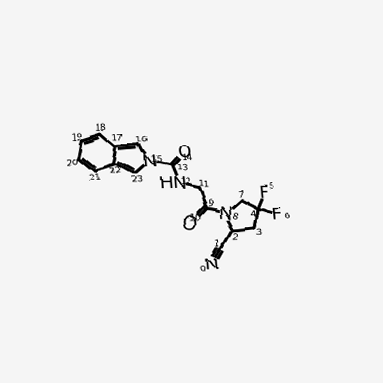 N#CC1CC(F)(F)CN1C(=O)CNC(=O)n1cc2ccccc2c1